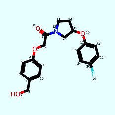 O=C(COc1ccc(CO)cc1)N1CCC(Oc2ccc(F)cc2)C1